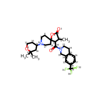 CC1C(=O)OC2(CCN(C3CCOC(C)(C)C3)CC2)C1C(=O)N1CCc2ccc(C(F)(F)F)cc2C1